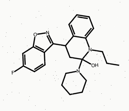 CCCN1c2ccccc2C(c2noc3cc(F)ccc23)CC1(O)N1CCCCC1